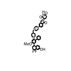 COc1cc(N2CCC(CN3CCN(c4ccc5c(c4)CN([C@H]4CCC(=O)NC4=O)C5=O)CC3)CC2)c(-c2ccccc2)cc1[C@@H]1CCC(F)(F)c2cc(O)ccc21